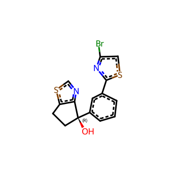 O[C@@]1(c2cccc(-c3nc(Br)cs3)c2)CCc2scnc21